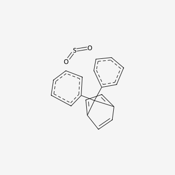 C1=CC2=CC=C1C2(c1ccccc1)c1ccccc1.O=S=O